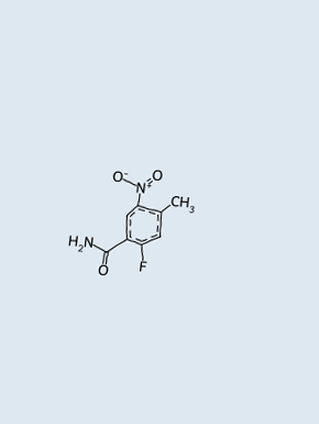 Cc1cc(F)c(C(N)=O)cc1[N+](=O)[O-]